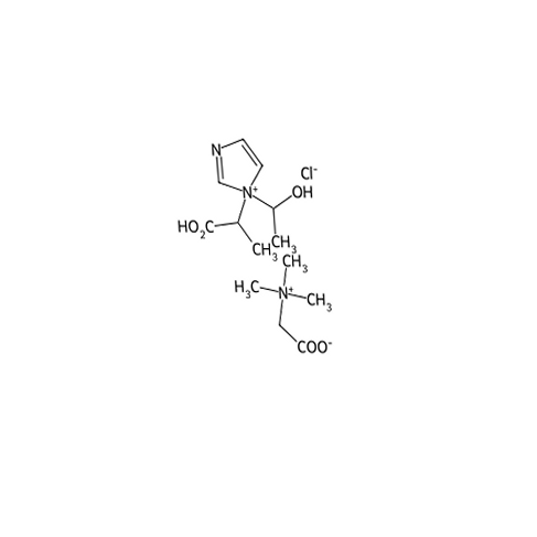 CC(O)[N+]1(C(C)C(=O)O)C=CN=C1.C[N+](C)(C)CC(=O)[O-].[Cl-]